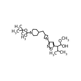 COC(O)C(c1cc(N2CC(CC3CCN(C(=O)OC(C)(C)C)CC3)C2)no1)C(C)C